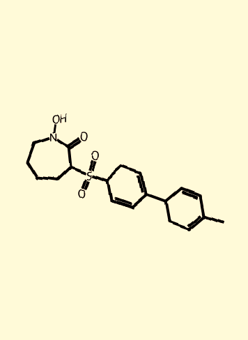 CC1=CCC(C2=CCC(S(=O)(=O)C3CCCCN(O)C3=O)C=C2)C=C1